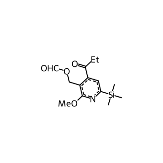 CCC(=O)c1cc([Si](C)(C)C)nc(OC)c1COC=O